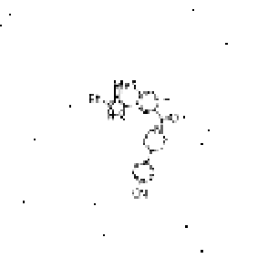 CCc1nnc(-c2cc(C(=O)N3CCC(c4ccc(C#N)cc4)CC3)c(C)cc2SC)[nH]1